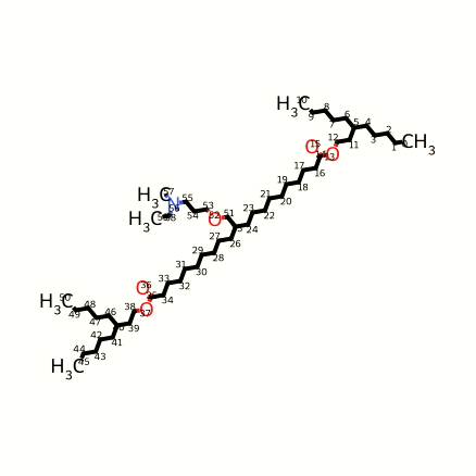 CCCCCC(CCCCC)CCOC(=O)CCCCCCCCCC(CCCCCCCCCC(=O)OCCC(CCCCC)CCCCC)COCCCN(C)CC